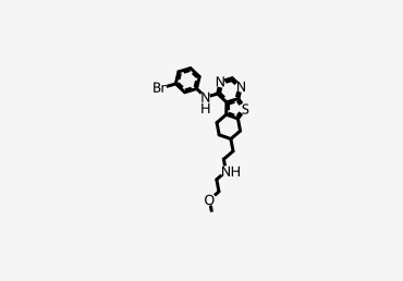 COCCNCCC1CCc2c(sc3ncnc(Nc4cccc(Br)c4)c23)C1